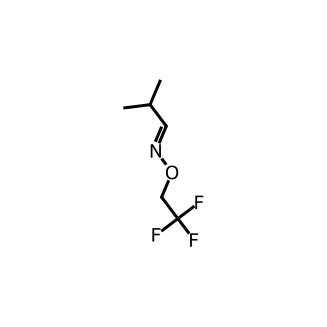 CC(C)C=NOCC(F)(F)F